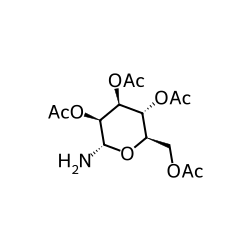 CC(=O)OC[C@H]1O[C@H](N)[C@@H](OC(C)=O)[C@@H](OC(C)=O)[C@@H]1OC(C)=O